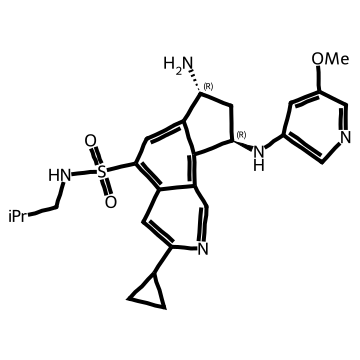 COc1cncc(N[C@@H]2C[C@@H](N)c3cc(S(=O)(=O)NCC(C)C)c4cc(C5CC5)ncc4c32)c1